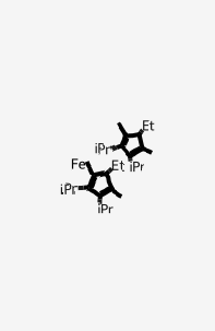 CCC1C(C)=C(C(C)C)C(C(C)C)=C1C.CCC1C(C)=C(C(C)C)C(C(C)C)=C1C.[Fe]